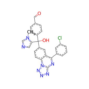 Cn1cncc1C(O)(c1ccc(C=O)cc1)c1ccc2c(c1)c(-c1cccc(Cl)c1)nc1nnnn12